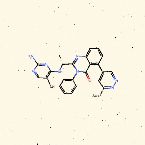 COc1cc(-c2cccc3nc([C@@H](C)Nc4nc(N)ncc4C#N)n(-c4ccccc4)c(=O)c23)cnn1